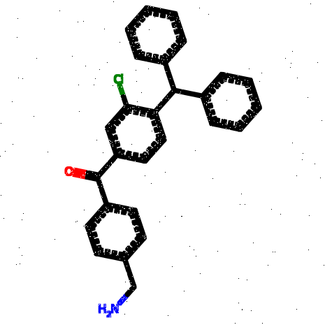 NCc1ccc(C(=O)c2ccc([C](c3ccccc3)c3ccccc3)c(Cl)c2)cc1